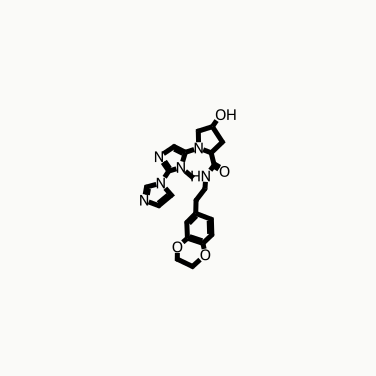 Cn1c(N2CC(O)CC2C(=O)NCCc2ccc3c(c2)OCCO3)cnc1-n1ccnc1